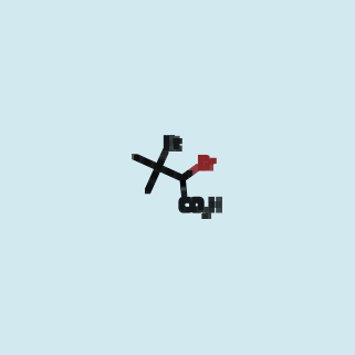 CCC(C)(C)C(Br)C(=O)O